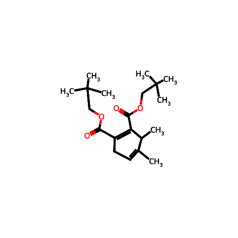 CC1=CCC(C(=O)OCC(C)(C)C)=C(C(=O)OCC(C)(C)C)C1C